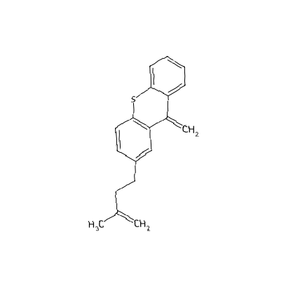 C=C(C)CCc1ccc2c(c1)C(=C)c1ccccc1S2